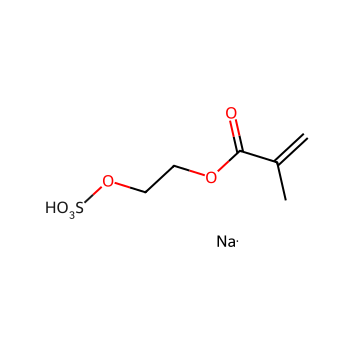 C=C(C)C(=O)OCCOS(=O)(=O)O.[Na]